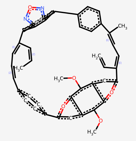 C=C/C1=C\C=C(/C)c2ccc(cc2)-c2ccc(c3nonc23)C(/C=C\C)=C/C=C\c2ccc(cc2)-c2cc3c(OC)c4oc1cc4c(OC)c3o2